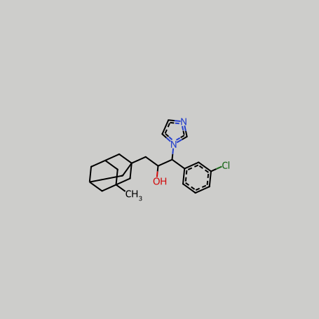 CC12CC3CC(C1)CC(CC(O)C(c1cccc(Cl)c1)n1ccnc1)(C3)C2